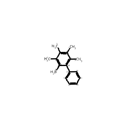 Bc1c(C)c(C)c(C)c(C)c1-c1ccccc1